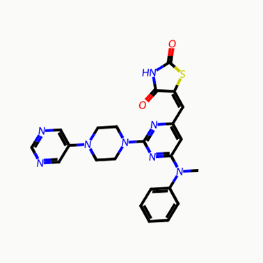 CN(c1ccccc1)c1cc(/C=C2/SC(=O)NC2=O)nc(N2CCN(c3cncnc3)CC2)n1